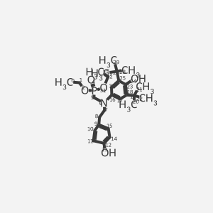 CCOP(=O)(CN(CCc1ccc(O)cc1)c1cc(C(C)(C)C)c(O)c(C(C)(C)C)c1)OCC